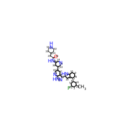 Cc1cc(F)cc(-c2cccc3[nH]c(-c4n[nH]c5ncc(-c6cncc(NC(=O)CC7CCNCC7)c6)cc45)cc23)c1